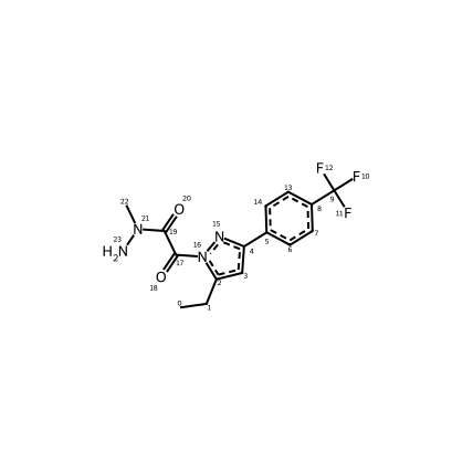 CCc1cc(-c2ccc(C(F)(F)F)cc2)nn1C(=O)C(=O)N(C)N